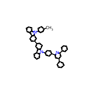 Cc1ccc(-n2c3ccccc3c3ccc(-c4ccc5c(c4)c4ccccc4n5-c4ccc(-c5cc(-c6ccccc6)cc(-c6ccccc6)n5)cc4)cc32)cc1